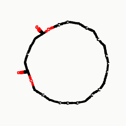 O=C1CCCCC(=O)OCCCCCCCCCCCCCCCCCCCCO1